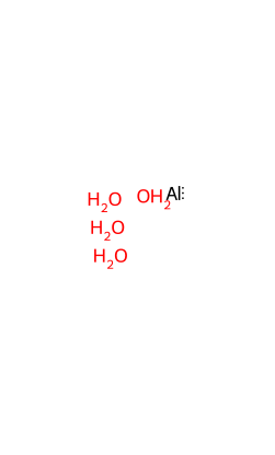 O.O.O.O.[Al]